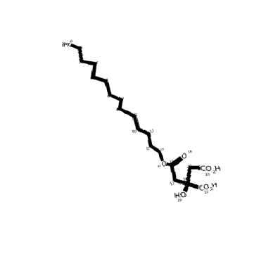 CC(C)CCCCCCCCCCCCCOC(=O)CC(O)(CC(=O)O)C(=O)O